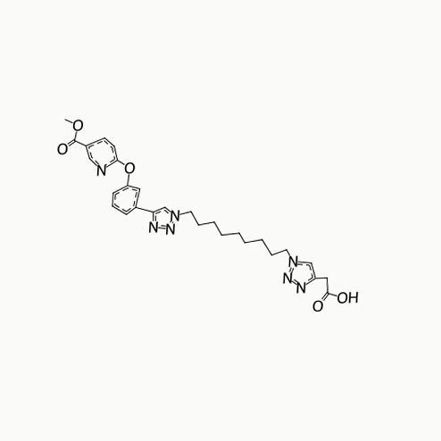 COC(=O)c1ccc(Oc2cccc(-c3cn(CCCCCCCCCn4cc(CC(=O)O)nn4)nn3)c2)nc1